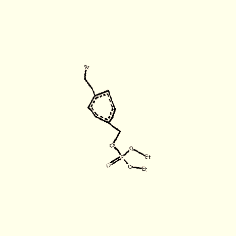 CCOP(=O)(OCC)OCc1ccc(CBr)cc1